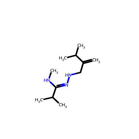 C=C(CN/N=C(\NC)C(C)C)C(C)C